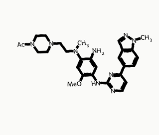 COc1cc(N(C)CCN2CCN(C(C)=O)CC2)c(N)cc1Nc1nccc(-c2ccc3c(cnn3C)c2)n1